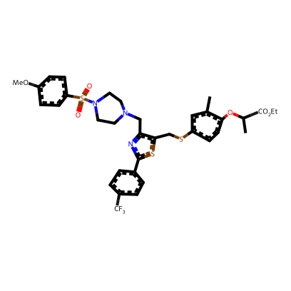 CCOC(=O)C(C)Oc1ccc(SCc2sc(-c3ccc(C(F)(F)F)cc3)nc2CN2CCN(S(=O)(=O)c3ccc(OC)cc3)CC2)cc1C